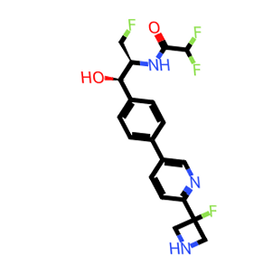 O=C(N[C@H](CF)[C@H](O)c1ccc(-c2ccc(C3(F)CNC3)nc2)cc1)C(F)F